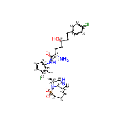 N[C@@H](CC[C@@H](O)CCc1ccc(Cl)cc1)C(=O)Nc1cccc(F)c1CC[C@H]1CN[C@@H]2CCCS(=O)(=O)N1C2